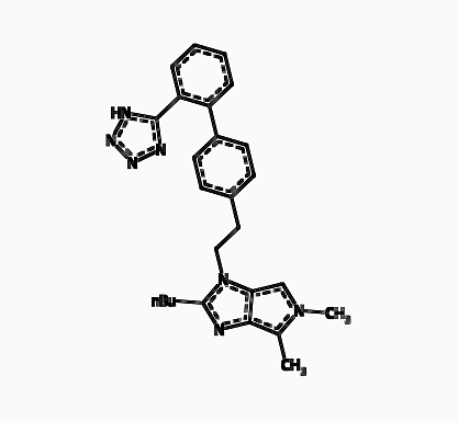 CCCCc1nc2c(C)n(C)cc2n1CCc1ccc(-c2ccccc2-c2nnn[nH]2)cc1